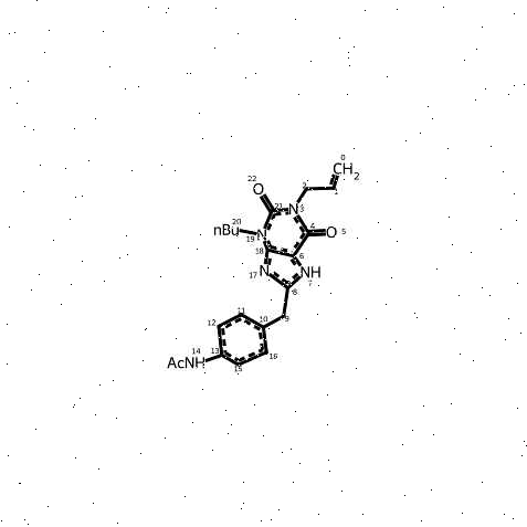 C=CCn1c(=O)c2[nH]c(Cc3ccc(NC(C)=O)cc3)nc2n(CCCC)c1=O